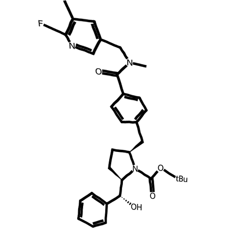 Cc1cc(CN(C)C(=O)c2ccc(C[C@@H]3CC[C@H]([C@H](O)c4ccccc4)N3C(=O)OC(C)(C)C)cc2)cnc1F